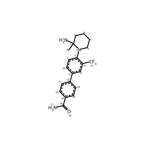 CC1(N)CCCCN1c1ccc(-c2ccc(C(N)=O)cc2)cc1C(F)(F)F